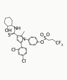 Cc1c(C(=S)NC2CCCCC2O)cc(-c2ccc(Cl)cc2Cl)n1-c1ccc(OS(=O)(=O)CCC(F)(F)F)cc1